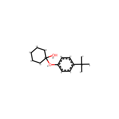 CC(C)(C)c1ccc(OC2(O)CCCCC2)cc1